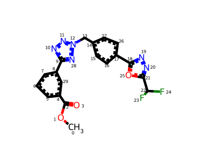 COC(=O)c1cccc(-c2nnn(Cc3ccc(-c4nnc(C(F)F)o4)cc3)n2)c1